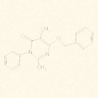 Cc1c(OCc2ccccc2)nc(C)n(-c2ccccc2)c1=O